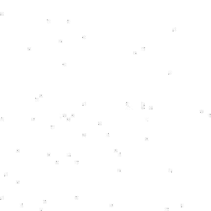 N#Cc1c(C(F)(F)F)cc(-c2ccc(Oc3ccc4[nH]ccc4c3)cc2)n(Cc2ccc(F)cc2Cl)c1=O